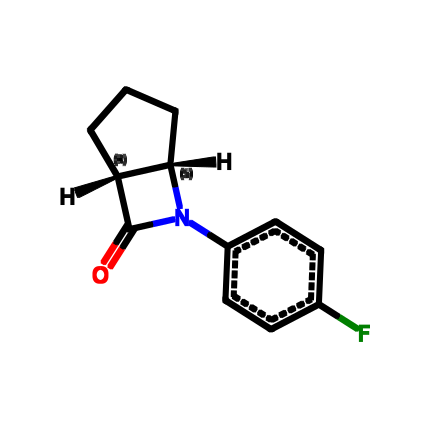 O=C1[C@@H]2CCC[C@@H]2N1c1ccc(F)cc1